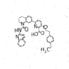 CCc1ccc(CCOc2ccc(-c3ccc4c(c3)N(C(=O)Nc3nc5ccccc5s3)CCC4)nc2C(=O)O)cc1